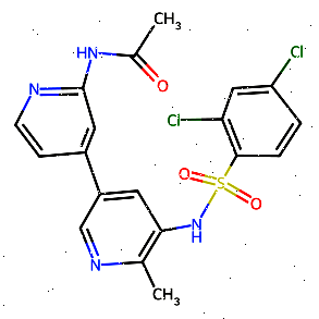 CC(=O)Nc1cc(-c2cnc(C)c(NS(=O)(=O)c3ccc(Cl)cc3Cl)c2)ccn1